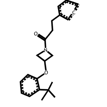 CC(C)(C)c1ccccc1OC1CN(C(=O)CCc2ccccc2)C1